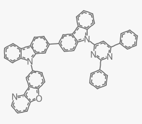 c1ccc(-c2cc(-n3c4ccccc4c4cc(-c5ccc6c7ccccc7n(-c7ccc8oc9cccnc9c8c7)c6c5)ccc43)nc(-c3ccccc3)n2)cc1